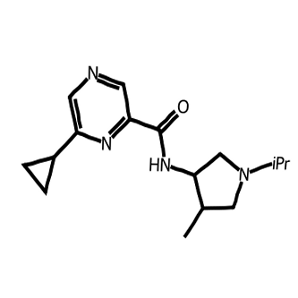 CC1CN(C(C)C)CC1NC(=O)c1cncc(C2CC2)n1